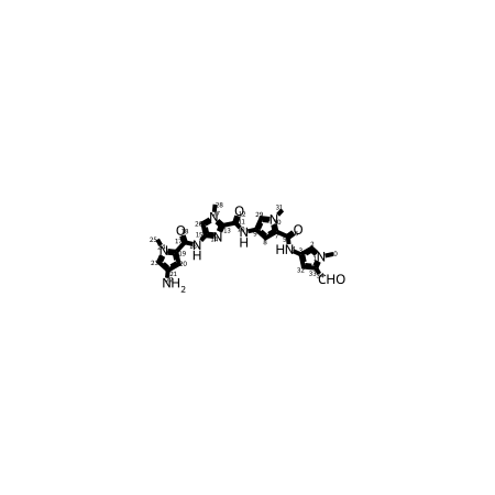 Cn1cc(NC(=O)c2cc(NC(=O)c3nc(NC(=O)c4cc(N)cn4C)cn3C)cn2C)cc1C=O